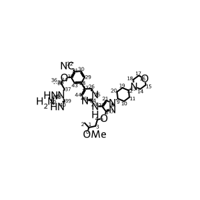 COC(C)CCOc1nn([C@H]2CC[C@H](N3CCOCC3)CC2)cc1Nc1ncc(-c2ccc(C#N)c(O[C@@H](C)CN(C=N)NN)c2)cn1